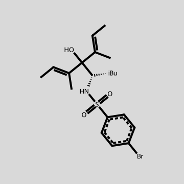 C/C=C(\C)C(O)(/C(C)=C/C)[C@@H](NS(=O)(=O)c1ccc(Br)cc1)[C@@H](C)CC